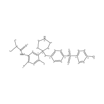 Cc1cc(F)c(NC(=O)C(C)C)cc1C1(Cc2ccc(S(=O)(=O)c3ccc(Cl)cc3)cc2)CCNCC1